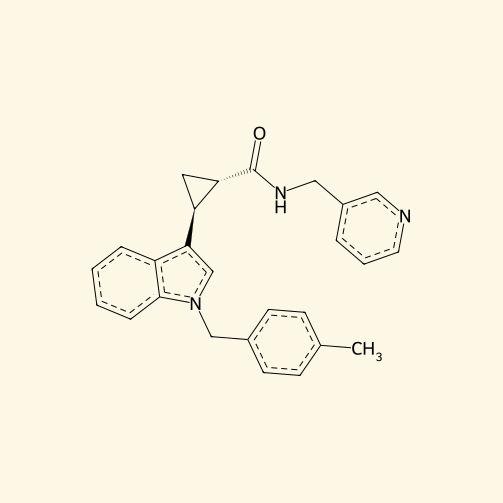 Cc1ccc(Cn2cc([C@H]3C[C@@H]3C(=O)NCc3cccnc3)c3ccccc32)cc1